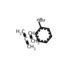 C=C.C=C=C.CCCCc1ccccc1